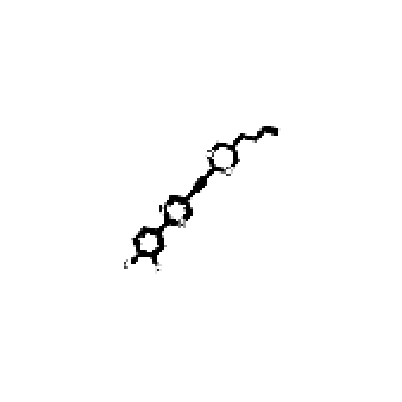 C=CCCC1COC(C#Cc2cnc(-c3ccc(Cl)c(F)c3)nc2)OC1